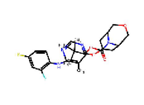 Cc1c(Nc2ccc(S)cc2F)ncnc1OC1CC2COCC(C1)N2C(=O)OCC(C)(C)C